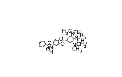 CN(C)c1cc(C2Oc3ccc(NS(=O)(=O)c4ccccc4)cc3O2)cc(N(C)C)c1N(C)C